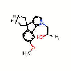 CCC1(CC)c2ccc(OC)cc2-c2c1ccn2C[C@@H](C)O